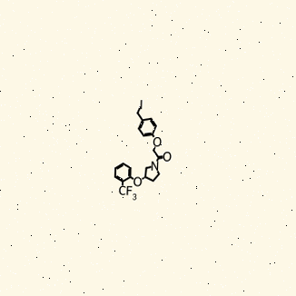 O=C(COc1ccc(CI)cc1)N1CC[C@@H](Oc2ccccc2C(F)(F)F)C1